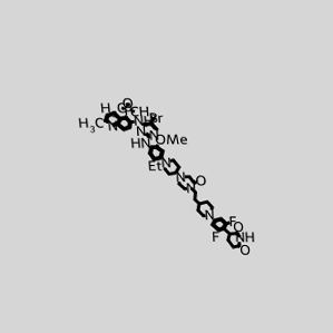 CCc1cc(Nc2ncc(Br)c(Nc3ccc4nc(C)ccc4c3P(C)(C)=O)n2)c(OC)cc1N1CCC(N2CCN(CCC3CCN(c4cc(F)c(C5CCC(=O)NC5=O)c(F)c4)CC3)C(=O)C2)CC1